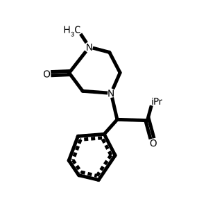 CC(C)C(=O)C(c1ccccc1)N1CCN(C)C(=O)C1